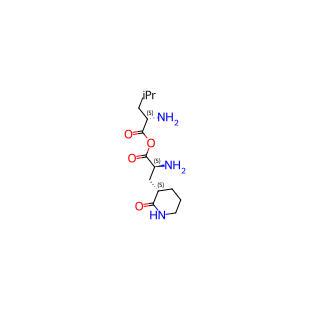 CC(C)C[C@H](N)C(=O)OC(=O)[C@@H](N)C[C@@H]1CCCNC1=O